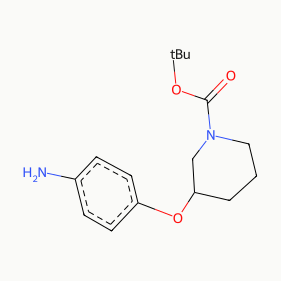 CC(C)(C)OC(=O)N1CCCC(Oc2ccc(N)cc2)C1